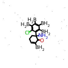 BC1=CCCC(N)(c2c(B)c(B)c(B)c(B)c2Cl)C1=O